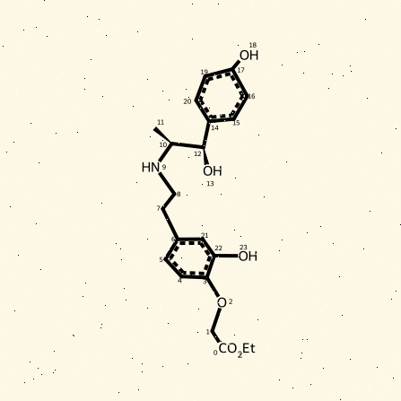 CCOC(=O)COc1ccc(CCN[C@@H](C)[C@H](O)c2ccc(O)cc2)cc1O